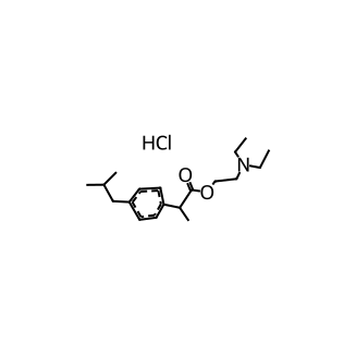 CCN(CC)CCOC(=O)C(C)c1ccc(CC(C)C)cc1.Cl